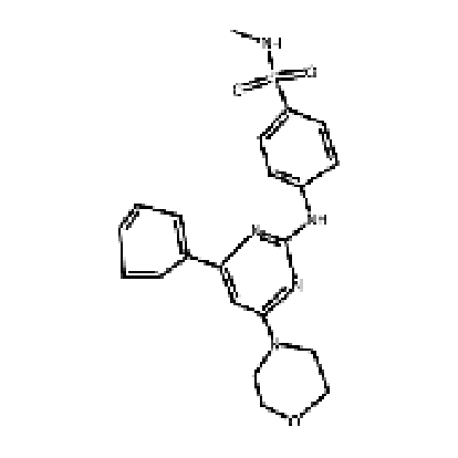 CNS(=O)(=O)c1ccc(Nc2nc(-c3ccccc3)cc(N3CCOCC3)n2)cc1